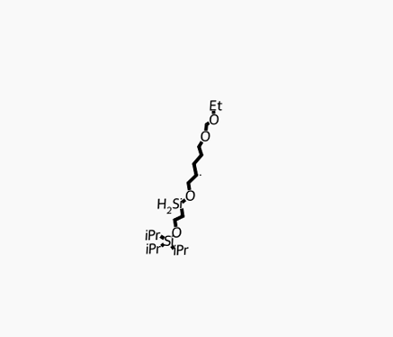 CCOCOCCC[CH]CO[SiH2]CCO[Si](C(C)C)(C(C)C)C(C)C